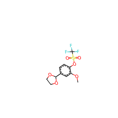 COc1cc(C2OCCO2)ccc1OS(=O)(=O)C(F)(F)F